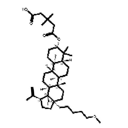 C=C(C)[C@@H]1CC[C@]2(CCCCCOC)CC[C@]3(C)[C@H](CC[C@@H]4[C@@]5(C)CC[C@H](OC(=O)CC(C)(C)CC(=O)O)C(C)(C)[C@@H]5CC[C@]43C)[C@@H]12